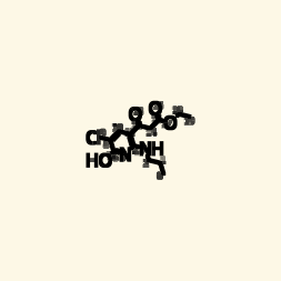 CCCNc1nc(O)c(Cl)cc1C(=O)CC(=O)OCC